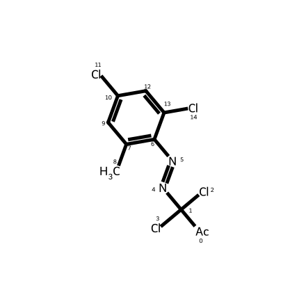 CC(=O)C(Cl)(Cl)N=Nc1c(C)cc(Cl)cc1Cl